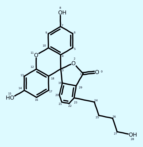 O=C1OC2(c3ccc(O)cc3Oc3cc(O)ccc32)c2cccc(CCCCO)c21